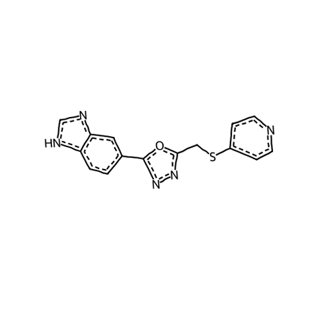 c1cc(SCc2nnc(-c3ccc4[nH]cnc4c3)o2)ccn1